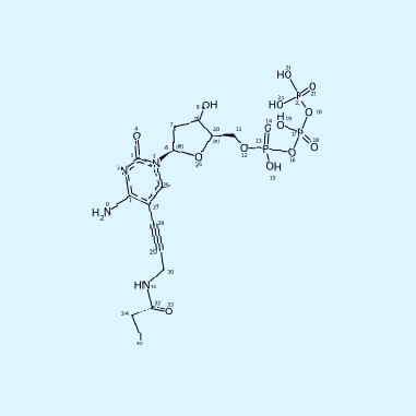 Nc1nc(=O)n([C@H]2CC(O)[C@@H](COP(=O)(O)OP(=O)(O)OP(=O)(O)O)O2)cc1C#CCNC(=O)CI